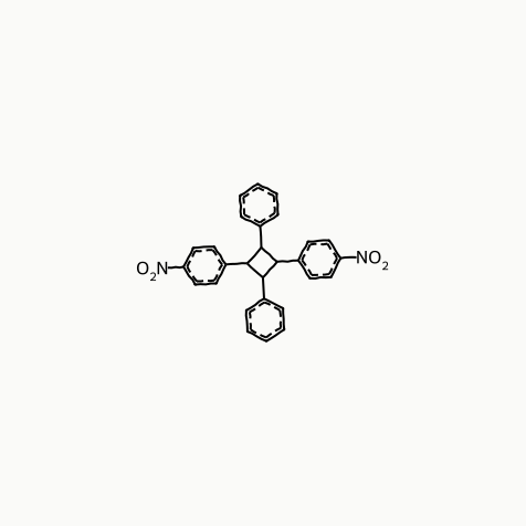 O=[N+]([O-])c1ccc(C2C(c3ccccc3)C(c3ccc([N+](=O)[O-])cc3)C2c2ccccc2)cc1